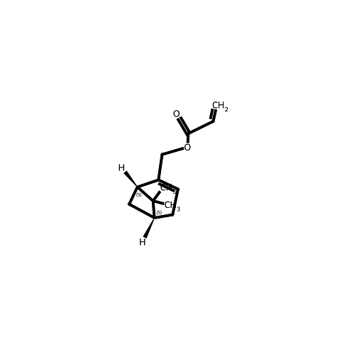 C=CC(=O)OCC1=CC[C@@H]2C[C@H]1C2(C)C